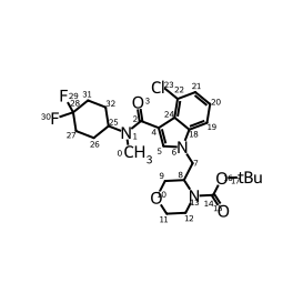 CN(C(=O)c1cn(CC2COCCN2C(=O)OC(C)(C)C)c2cccc(Cl)c12)C1CCC(F)(F)CC1